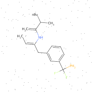 C=C(N/C(=C\C)Cc1cccc(C(F)(F)P)c1)C(C)CCCC